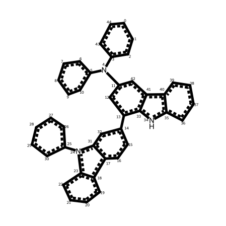 c1ccc(N(c2ccccc2)c2cc(-c3ccc4c5ccccc5n(-c5ccccc5)c4c3)c3[nH]c4ccccc4c3c2)cc1